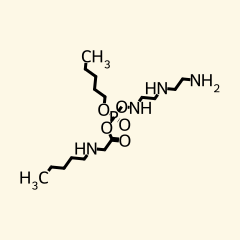 CCCCCNCC(=O)OP(=O)(OCCCCC)ONCCNCCN